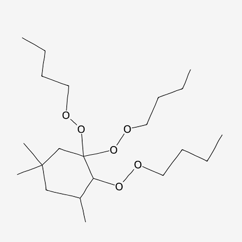 CCCCOOC1C(C)CC(C)(C)CC1(OOCCCC)OOCCCC